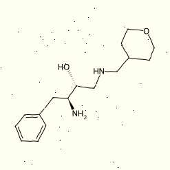 N[C@@H](Cc1ccccc1)[C@H](O)CNCC1CCOCC1